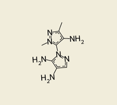 Cc1nn(C)c(-n2ncc(N)c2N)c1N